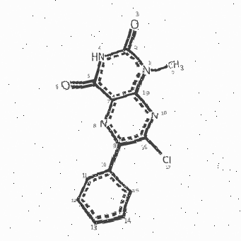 Cn1c(=O)[nH]c(=O)c2nc(-c3ccccc3)c(Cl)nc21